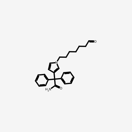 NC(=O)C(c1ccccc1)(c1ccccc1)c1ccn(CCCCCCC=O)c1